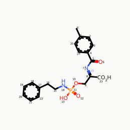 Cc1ccc(C(=O)/N=C(/COP(=O)(O)NCCc2ccccc2)C(=O)O)cc1